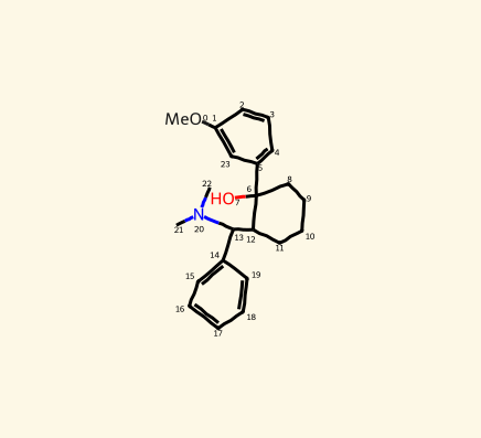 COc1cccc(C2(O)CCCCC2C(c2ccccc2)N(C)C)c1